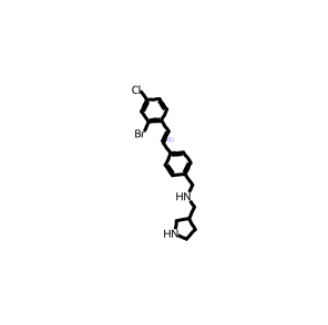 Clc1ccc(/C=C/c2ccc(CNCC3CCNC3)cc2)c(Br)c1